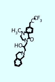 CN1CCN(CC(O)CN2CCc3ccccc3C2)C(=O)c2ccc(CCC(F)(F)F)cc21